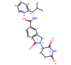 CC(C)[C@H](NC(=O)c1ccc2c(c1)CN(C1CCC(=O)NC1=O)C2=O)c1ccccn1